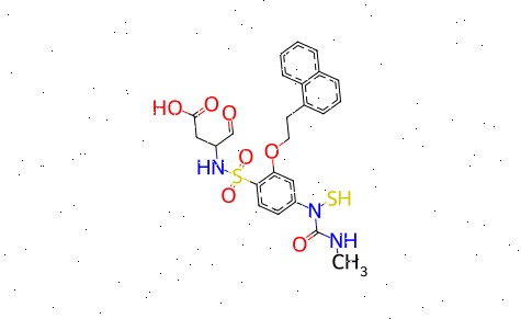 CNC(=O)N(S)c1ccc(S(=O)(=O)NC(C=O)CC(=O)O)c(OCCc2cccc3ccccc23)c1